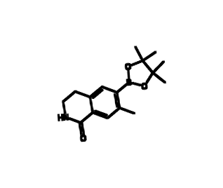 Cc1cc2c(cc1B1OC(C)(C)C(C)(C)O1)CCNC2=O